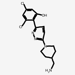 NCC1CCN(c2ccc(-c3c(O)cc(Cl)cc3Cl)nn2)CC1